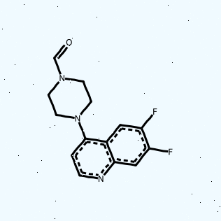 O=CN1CCN(c2ccnc3cc(F)c(F)cc23)CC1